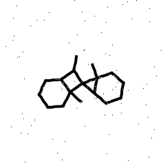 CC1C2CCCCC2(C)C12C1CCCCC12C